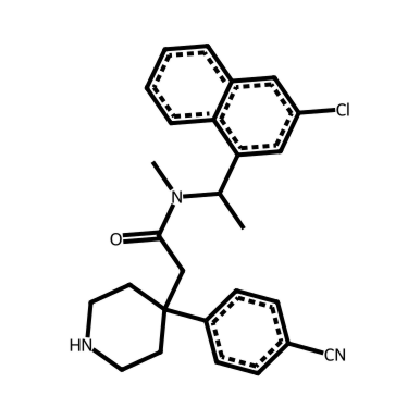 CC(c1cc(Cl)cc2ccccc12)N(C)C(=O)CC1(c2ccc(C#N)cc2)CCNCC1